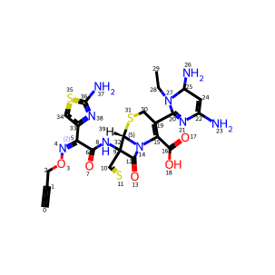 C#CCO/N=C(\C(=O)NC1(C=S)C(=O)N2C(C(=O)O)=C(C3=NC(N)=CC(N)N3CC)CS[C@H]21)c1csc(N)n1